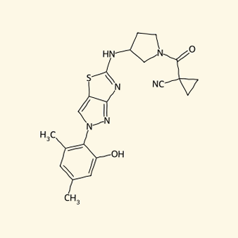 Cc1cc(C)c(-n2cc3sc(NC4CCN(C(=O)C5(C#N)CC5)C4)nc3n2)c(O)c1